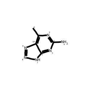 Cc1nc(N)nc2[nH]nnc12